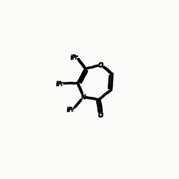 CC(C)C1=C(C(C)C)N(C(C)C)C(=O)C=CO1